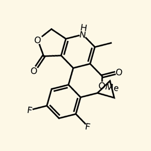 COC(=O)C1=C(C)NC2=C(C(=O)OC2)C1c1cc(F)cc(F)c1C1CC1